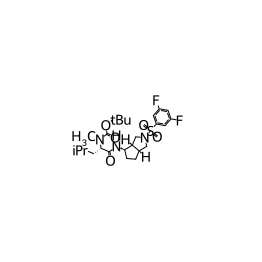 CC(C)C[C@@H](C(=O)N[C@@H]1CC[C@H]2CN(S(=O)(=O)c3cc(F)cc(F)c3)C[C@H]21)N(C)C(=O)OC(C)(C)C